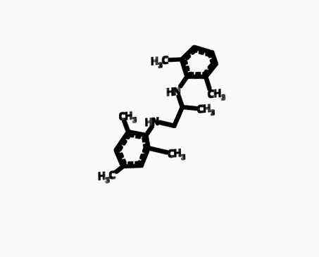 Cc1cc(C)c(NCC(C)Nc2c(C)cccc2C)c(C)c1